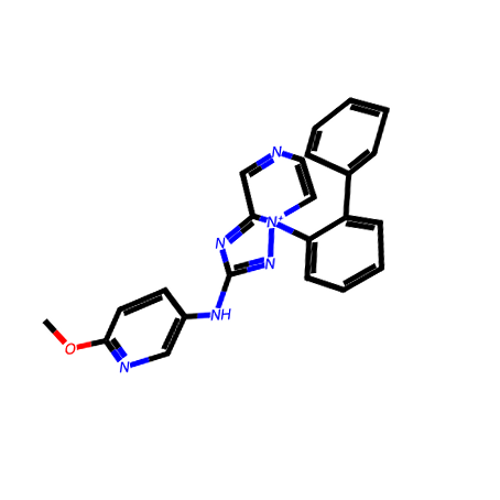 COc1ccc(NC2=N[N+]3(c4ccccc4-c4ccccc4)C=CN=CC3=N2)cn1